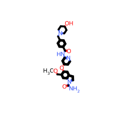 COCc1cc2c(ccn2C(N)=O)cc1Oc1ccnc(NC(=O)c2ccc(CN3CCC(O)CC3)cc2)c1